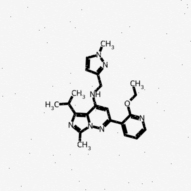 CCOc1ncccc1-c1cc(NCc2ccn(C)n2)c2c(C(C)C)nc(C)n2n1